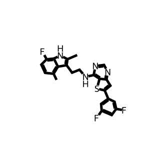 Cc1[nH]c2c(F)ccc(C)c2c1CCNc1ncnc2cc(-c3cc(F)cc(F)c3)sc12